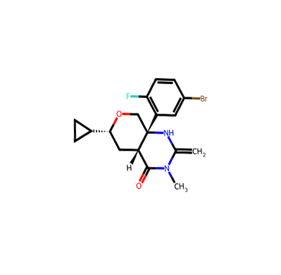 C=C1N[C@@]2(c3cc(Br)ccc3F)CO[C@@H](C3CC3)C[C@H]2C(=O)N1C